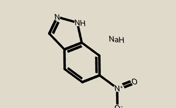 O=[N+]([O-])c1ccc2cn[nH]c2c1.[NaH]